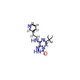 CC(C)(C)c1cn2c(=O)[nH]nc2c(NCCc2cccnc2)n1